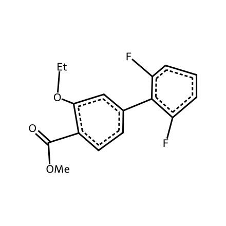 CCOc1cc(-c2c(F)cccc2F)ccc1C(=O)OC